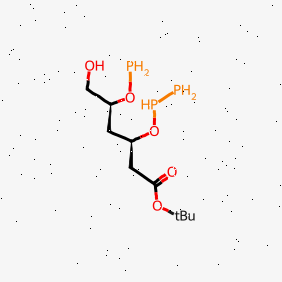 CC(C)(C)OC(=O)C[C@@H](C[C@@H](CO)OP)OPP